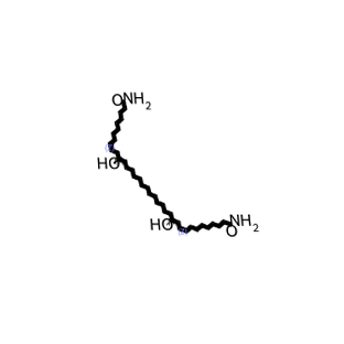 NC(=O)CCCCCCC/C=C\C[C@H](O)CCCCCCCCCCCCC[C@@H](O)C/C=C\CCCCCCCC(N)=O